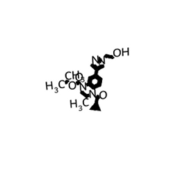 CC(C)OC(=O)N1C[C@H](C)N(C(=O)C2CC2)c2ccc(-c3cnn(CCO)c3)cc21